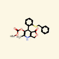 CCCCOC(=O)OC1=C(C)NC2=C(C(=O)OC2)C1c1ccccc1SCc1ccccc1